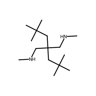 CNCC(CNC)(CC(C)(C)C)CC(C)(C)C